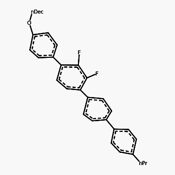 CCCCCCCCCCOc1ccc(-c2ccc(-c3ccc(-c4ccc(CCC)cc4)cc3)c(F)c2F)cc1